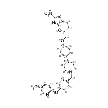 O=[N+]([O-])c1cn2c(n1)O[C@@H](COc1ccc(N3CCN(Cc4ccc(Oc5ccc(C(F)(F)F)cn5)cc4)CC3)cc1)CC2